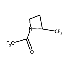 O=C(N1CCC1C(F)(F)F)C(F)(F)F